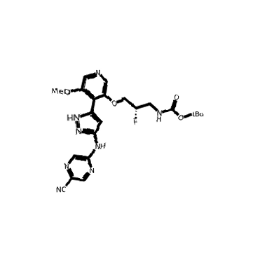 COc1cncc(OC[C@@H](F)CNC(=O)OC(C)(C)C)c1-c1cc(Nc2cnc(C#N)cn2)n[nH]1